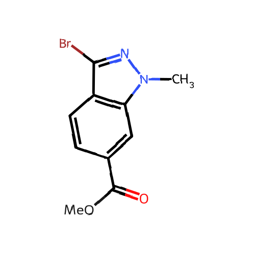 COC(=O)c1ccc2c(Br)nn(C)c2c1